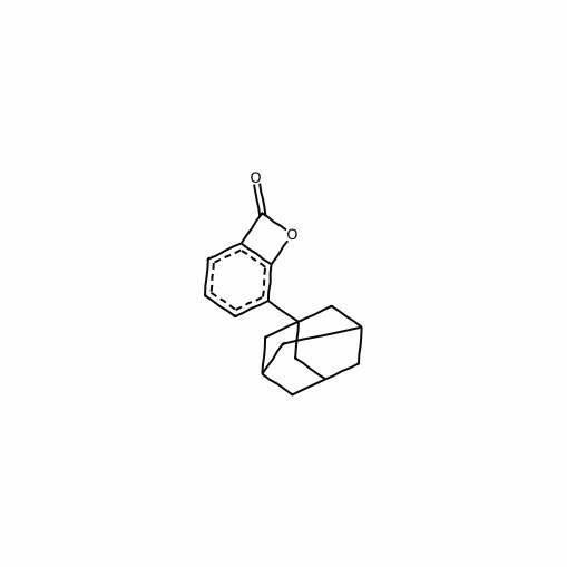 O=C1Oc2c1cccc2C12CC3CC(CC(C3)C1)C2